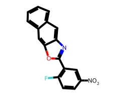 O=[N+]([O-])c1ccc(F)c(-c2nc3cc4ccccc4cc3o2)c1